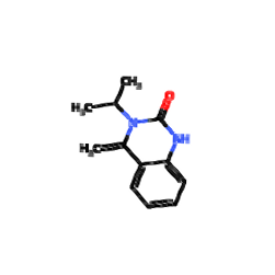 C=C1c2ccccc2NC(=O)N1C(C)C